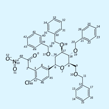 O=C(Cc1cc([C@@H]2O[C@H](COCc3ccccc3)[C@@H](OCc3ccccc3)[C@H](OCc3ccccc3)[C@H]2OCc2ccccc2)ccc1Cl)C[N+](=O)[O-]